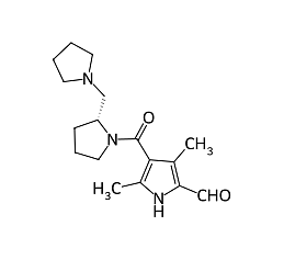 Cc1[nH]c(C=O)c(C)c1C(=O)N1CCC[C@@H]1CN1CCCC1